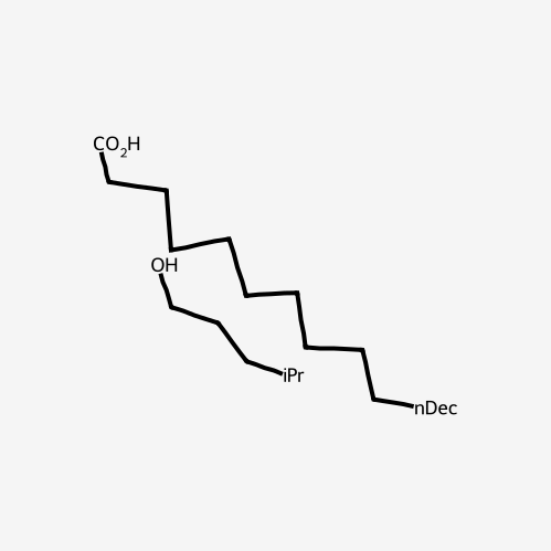 CC(C)CCCO.CCCCCCCCCCCCCCCCCCCC(=O)O